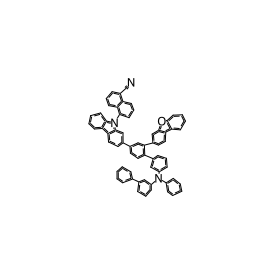 N#Cc1cccc2c(-n3c4ccccc4c4ccc(-c5ccc(-c6cccc(N(c7ccccc7)c7cccc(-c8ccccc8)c7)c6)c(-c6ccc7c(c6)oc6ccccc67)c5)cc43)cccc12